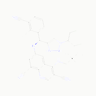 Cc1c(C#N)cccc1[C@H](Nc1cc(C#N)c2ncc(C#N)c(NCC(C)(C)C)c2c1)C1=CN(C(CF)CF)NN1